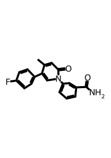 Cc1cc(=O)n(-c2cccc(C(N)=O)c2)cc1-c1ccc(F)cc1